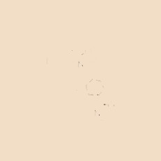 CCC1(C(=O)N2CCOc3cc(C(=O)NO)ccc3C2C)CCCOC1